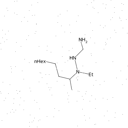 [CH2]CCCCCCCC(C)N(CC)NCN